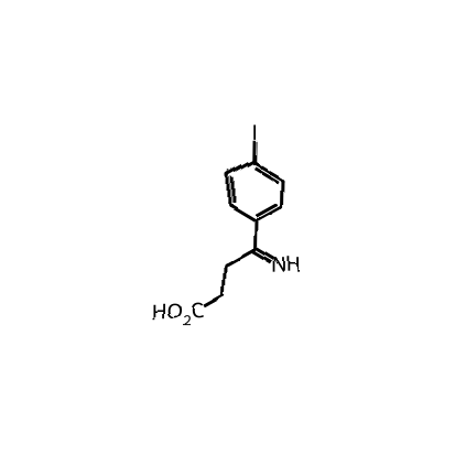 N=C(CCC(=O)O)c1ccc(I)cc1